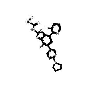 CCNC(=O)Nc1nc2c(F)c(-c3cnc(N4CCCC4)nc3)cc(-c3ncccc3F)c2s1